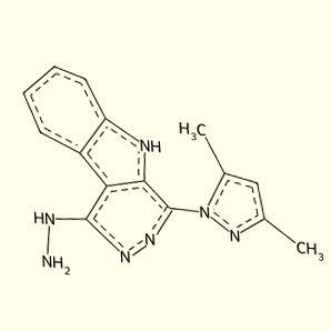 Cc1cc(C)n(-c2nnc(NN)c3c2[nH]c2ccccc23)n1